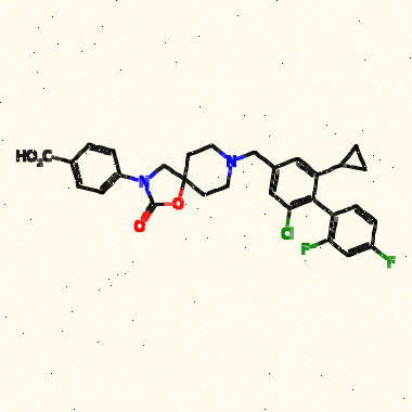 O=C(O)c1ccc(N2CC3(CCN(Cc4cc(Cl)c(-c5ccc(F)cc5F)c(C5CC5)c4)CC3)OC2=O)cc1